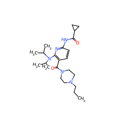 CCCN1CCN(C(=O)c2ccc(NC(=O)C3CC3)nc2N(C(C)C)C(C)C)CC1